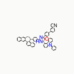 N#Cc1cccc(-c2ccc3c4c(oc3c2)C(c2cccc3c2c2ccccc2n3-c2ccccc2)NC(c2ccc(C3CCc5cc6ccccc6cc5-c5ccc6ccccc6c53)cc2)=N4)c1